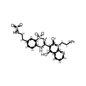 CC(C)CCn1c(=O)c(C2=NS(=O)(=O)c3cc(CCN[SH](=O)=O)ccc3N2)c(O)c2cccnc21